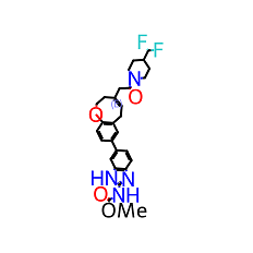 COC(=O)Nc1nc2ccc(-c3ccc4c(c3)C/C=C(/CC(=O)N3CCC(C(F)F)CC3)CCO4)cc2[nH]1